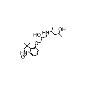 CC(O)CC(C)NCC(O)COc1cccc2c1C(C)(C)C[NH+]2[O-]